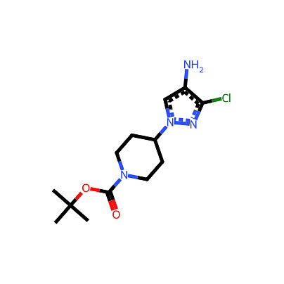 CC(C)(C)OC(=O)N1CCC(n2cc(N)c(Cl)n2)CC1